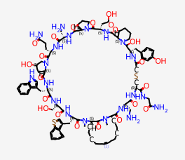 CN1C(=O)[C@@H]2CCCC/C=C\CCCCC1C(=O)N[C@@H](CN)C(=O)N[C@H](C(=O)NCC(N)=O)CSCC(=O)N[C@@H](Cc1ccc(O)cc1)C(O)N1CCCC[C@H]1C(=O)N[C@@H](CC(=O)O)C(=O)N1CCC[C@H]1C(=O)N[C@@H](CN)C(=O)N[C@@H](CCC(N)=O)C(=O)N1C[C@H](O)C[C@H]1C(=O)N[C@@H](Cc1c[nH]c3ccccc13)C(=O)N[C@@H](CO)C(=O)N[C@@H](Cc1csc3ccccc13)C(=O)N2C